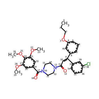 CCCOc1cccc(C(=CC(=O)N2CCN(C(=O)c3cc(OC)c(OC)c(OC)c3)CC2)c2cccc(Cl)c2)c1